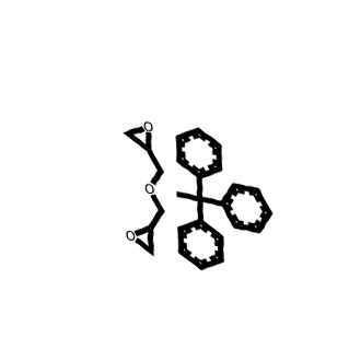 C(OCC1CO1)C1CO1.CC(c1ccccc1)(c1ccccc1)c1ccccc1